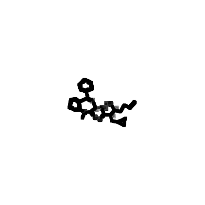 C=CCC[C@H](O)[C@@H](CC1CC1)C(=O)N[C@H]1N=C(c2ccccc2)c2ccccc2N(C)C1=O